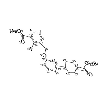 COC(=O)c1cccc(COc2cccc(C3CCN(C(=O)OC(C)(C)C)CC3)n2)c1F